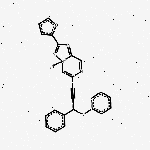 N[N+]12C=C(C#CC(Nc3ccccc3)c3ccccc3)N=CC1=NC(c1ccco1)=N2